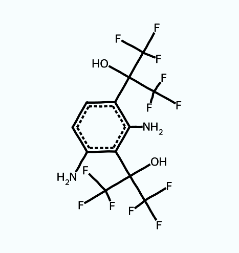 Nc1ccc(C(O)(C(F)(F)F)C(F)(F)F)c(N)c1C(O)(C(F)(F)F)C(F)(F)F